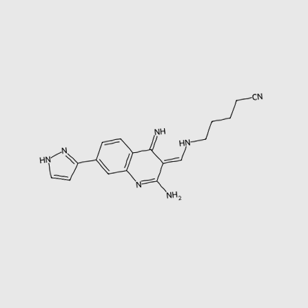 N#CCCCCN/C=C1\C(=N)c2ccc(-c3cc[nH]n3)cc2N=C1N